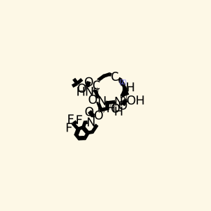 CC(C)(C)OC(=O)N[C@H]1CCCCC/C=C\[C@@H]2C[C@@]2(C(=O)O)NC(=O)[C@@H]2C[C@@H](OC(=O)N3CCc4cccc(C(F)(F)F)c4C3)CN2C1=O